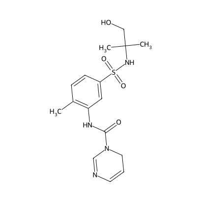 Cc1ccc(S(=O)(=O)NC(C)(C)CO)cc1NC(=O)N1C=NC=CC1